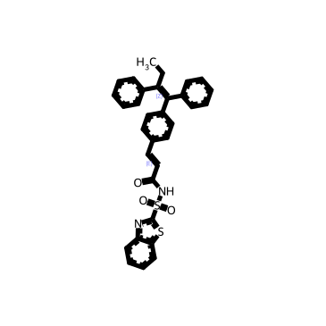 CC/C(=C(\c1ccccc1)c1ccc(/C=C/C(=O)NS(=O)(=O)c2nc3ccccc3s2)cc1)c1ccccc1